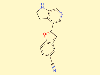 N#Cc1ccc2oc(-c3cncc4c3CCN4)cc2c1